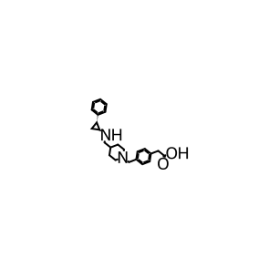 O=C(O)Cc1ccc(CN2CCC(CN[C@H]3C[C@@H]3c3ccccc3)CC2)cc1